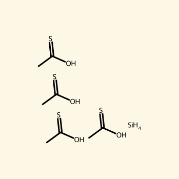 CC(O)=S.CC(O)=S.CC(O)=S.CC(O)=S.[SiH4]